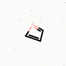 B1=CC=C1